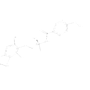 C[C@](C#N)(COc1c(O)cc2c(c1Cl)BOC2)NC(=O)c1ccc(OC(F)(F)F)cc1